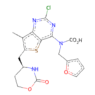 Cc1c(C[C@@H]2CCOC(=O)N2)sc2c(N(Cc3ccco3)C(=O)O)nc(Cl)nc12